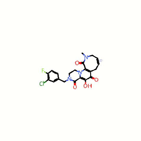 CN1C/C=C\Cc2c(n3c(c(O)c2=O)C(=O)N(Cc2ccc(F)c(Cl)c2)CC3)C1=O